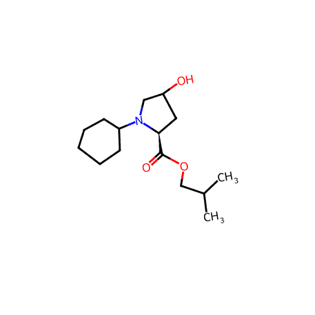 CC(C)COC(=O)[C@@H]1CC(O)CN1C1CCCCC1